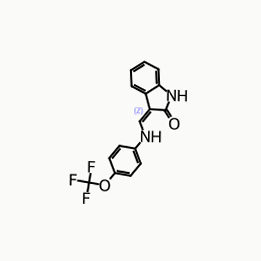 O=C1Nc2ccccc2/C1=C/Nc1ccc(OC(F)(F)F)cc1